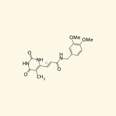 COc1ccc(CNC(=O)/C=C/c2[nH]c(=O)[nH]c(=O)c2C)cc1OC